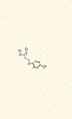 CCOC(CCOc1ccc(C#N)cn1)OCC